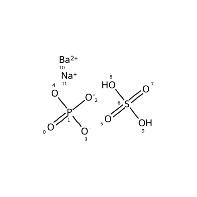 O=P([O-])([O-])[O-].O=S(=O)(O)O.[Ba+2].[Na+]